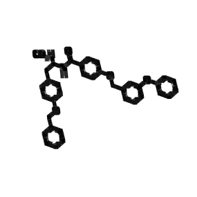 O=C(N[C@@H](Cc1ccc(OCc2ccccc2)cc1)C(=O)O)c1ccc(OCc2cccc(Oc3ccccc3)c2)cc1